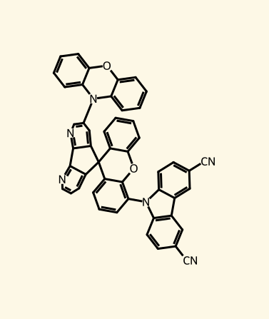 N#Cc1ccc2c(c1)c1cc(C#N)ccc1n2-c1cccc2c1Oc1ccccc1C21c2cccnc2-c2ncc(N3c4ccccc4Oc4ccccc43)cc21